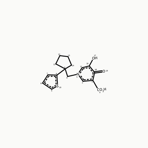 O=C(O)c1cn(CC2(c3cccs3)CCCC2)cc(O)c1=O